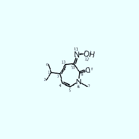 CC(C)c1ccn(C)c(=O)c(=NO)c1